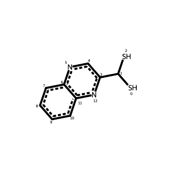 SC(S)c1cnc2ccccc2n1